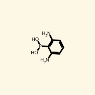 Nc1cccc(N)c1P(O)O